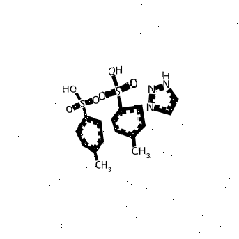 Cc1ccc(S(=O)(=O)O)cc1.Cc1ccc(S(=O)(=O)O)cc1.c1c[nH]nn1